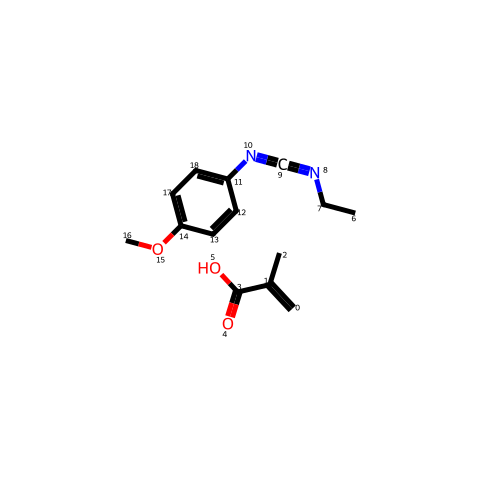 C=C(C)C(=O)O.CCN=C=Nc1ccc(OC)cc1